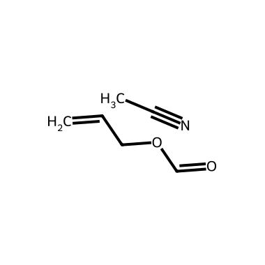 C=CCOC=O.CC#N